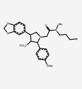 CCCCN(CCCBr)C(=O)CN1CC(c2ccc3c(c2)OCO3)C(C(=O)OCC)C1c1ccc(OC)cc1